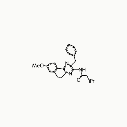 COc1ccc2c(c1)CCc1nc(NC(=O)CC(C)C)c(Cc3ccccc3)nc1-2